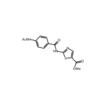 COC(=O)c1cnc(NC(=O)c2ccc(NC(C)=O)cc2)s1